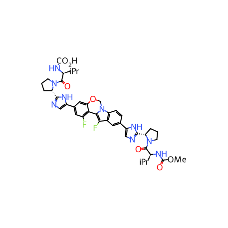 COC(=O)N[C@H](C(=O)N1CCC[C@H]1c1ncc(-c2ccc3c(c2)c(F)c2n3COc3cc(-c4cnc([C@@H]5CCCN5C(=O)[C@@H](NC(=O)O)C(C)C)[nH]4)cc(F)c3-2)[nH]1)C(C)C